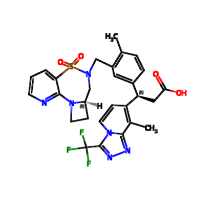 Cc1ccc([C@@H](CC(=O)O)c2ccn3c(C(F)(F)F)nnc3c2C)cc1CN1C[C@H]2CCN2c2ncccc2S1(=O)=O